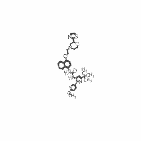 COc1ccc(-n2nc(C(C)(C)C)cc2NC(=O)Nc2ccc(OCCN3CCOC(c4nccs4)C3)c3ccccc23)cn1